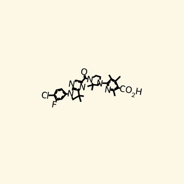 Cc1nc(N2CCN(C(=O)c3cnc4c(n3)C(C)(C)CN4c3ccc(Cl)c(F)c3)C(C)(C)C2)c(C)c(C)c1C(=O)O